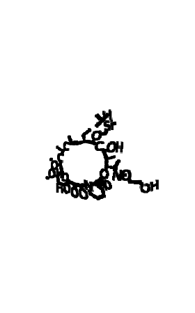 CC[C@@H]1/C=C(\C)C[C@H](C)C[C@H](OC)[C@H]2O[C@@](O)(C(=O)C(=O)N3CCCC[C@H]3C(=O)O[C@H](/C(C)=N/OCCO)[C@H](C)[C@@H](O)C[C@H]1OC[SiH](C)C(C)(C)C)[C@H](C)C[C@@H]2OC